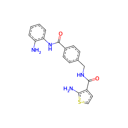 Nc1ccccc1NC(=O)c1ccc(CNC(=O)c2ccsc2N)cc1